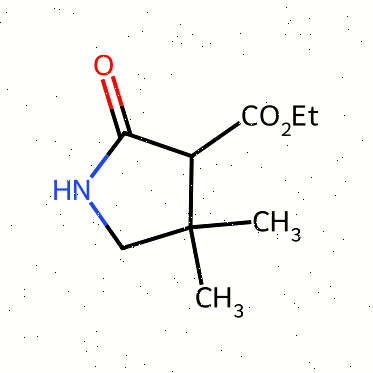 CCOC(=O)C1C(=O)NCC1(C)C